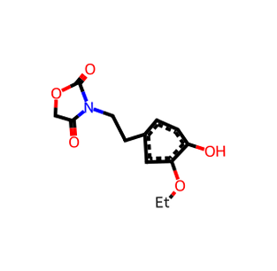 CCOc1cc(CCN2C(=O)COC2=O)ccc1O